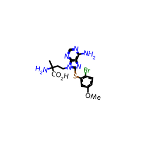 COc1ccc(Br)c(Sc2nc3c(N)ncnc3n2CCC(C)(N)C(=O)O)c1